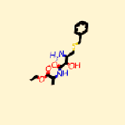 CCOC(=O)C(C)NC(=O)C(O)C(N)CSCc1ccccc1